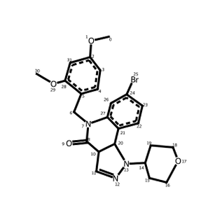 COc1ccc(CN2C(=O)C3C=NN(C4CCOCC4)C3c3ccc(Br)cc32)c(OC)c1